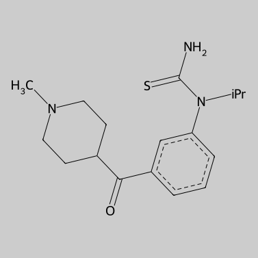 CC(C)N(C(N)=S)c1cccc(C(=O)C2CCN(C)CC2)c1